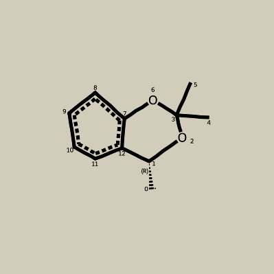 [CH2][C@H]1OC(C)(C)Oc2ccccc21